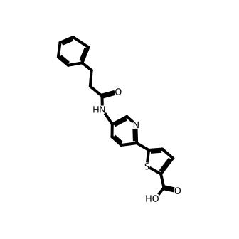 O=C(CCc1ccccc1)Nc1ccc(-c2ccc(C(=O)O)s2)nc1